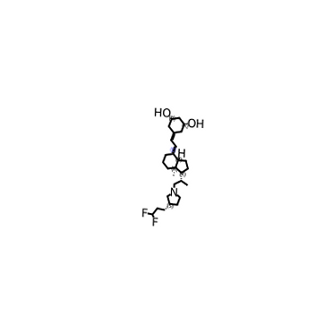 CC(CN1CC[C@H](CCC(F)F)C1)[C@H]1CC[C@H]2/C(=C/C=C3C[C@@H](O)C[C@H](O)C3)CCC[C@]12C